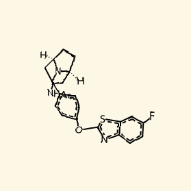 CC(=O)NC1C[C@H]2CC[C@@H](C1)N2Cc1ccc(Oc2nc3ccc(F)cc3s2)cc1